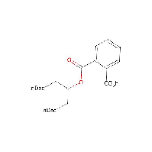 CCCCCCCCCCCC(CCCCCCCCCCC)OC(=O)c1ccccc1C(=O)O